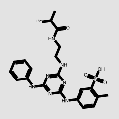 Cc1ccc(Nc2nc(NCCNC(=O)C(C)[18F])nc(Nc3ccccc3)n2)cc1S(=O)(=O)O